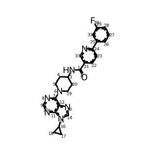 O=C(NC1CCN(c2ncnc3c2ncn3C2CC2)CC1)c1ccc(-c2cccc(F)c2)nc1